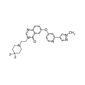 Cn1cc(-c2cc(Oc3ccc4ncn(CCN5CCC(F)(F)CC5)c(=O)c4c3)ccn2)cn1